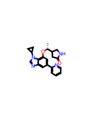 C[C@@H](Oc1cc(-c2ccccn2)cc2ncn(C3CC3)c12)C1CNC(=O)C1